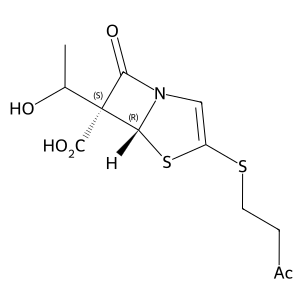 CC(=O)CCSC1=CN2C(=O)[C@](C(=O)O)(C(C)O)[C@H]2S1